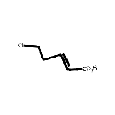 O=C(O)C=CCCCl